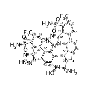 N=C(N)N1Cc2ccc(-c3ccc(C(F)(F)F)c(S(N)(=O)=O)c3-c3nnn(-c4cc(C(F)(F)F)c(S(N)(=O)=O)c(-c5nn[nH]n5)c4-c4ccc(CO)cc4)n3)cc2C1